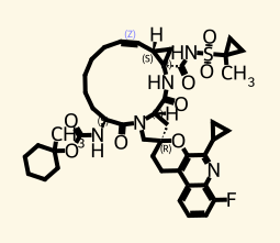 CC1(OC(=O)N[C@H]2CCCCC/C=C\[C@@H]3C[C@@]3(C(=O)NS(=O)(=O)C3(C)CC3)NC(=O)[C@@H]3C[C@]4(CCc5c(c(C6CC6)nc6c(F)cccc56)O4)CN3C2=O)CCCCC1